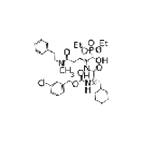 CCOP(=O)(OCC)C(O)[C@H](CCC(=O)N(C)CCc1ccccc1)NC(=O)[C@H](CC1CCCCC1)NC(=O)OCc1cccc(Cl)c1